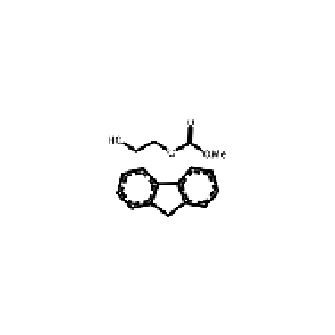 COC(=O)OCCO.c1ccc2c(c1)Cc1ccccc1-2